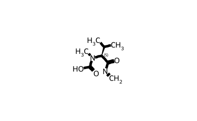 C=NC(=O)[C@H](C(C)C)N(C)C(=O)O